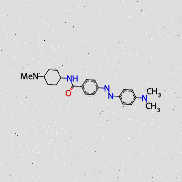 CNC1CCC(NC(=O)c2ccc(/N=N/c3ccc(N(C)C)cc3)cc2)CC1